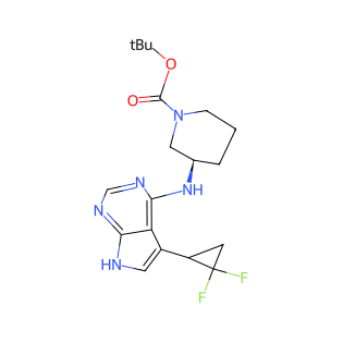 CC(C)(C)OC(=O)N1CCC[C@@H](Nc2ncnc3[nH]cc(C4CC4(F)F)c23)C1